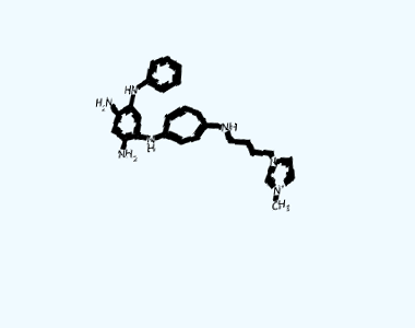 C[n+]1ccn(CCCCNC2=CC=C(Nc3cc(Nc4ccccc4)c(N)cc3N)C=CC2)c1